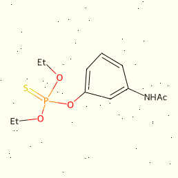 CCOP(=S)(OCC)Oc1cccc(NC(C)=O)c1